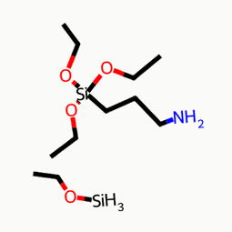 CCO[SiH3].CCO[Si](CCCN)(OCC)OCC